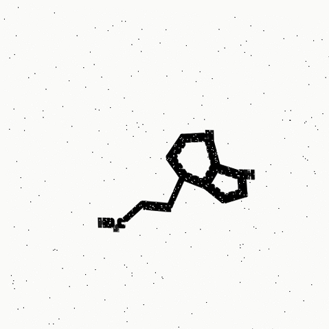 O=C(O)/C=C/c1ccnc2[nH]ccc12